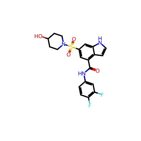 O=C(Nc1ccc(F)c(F)c1)c1cc(S(=O)(=O)N2CCC(O)CC2)cc2[nH]ccc12